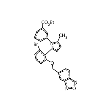 CCOC(=O)c1cccc(-n2c(C)ccc2-c2c(Br)cccc2OCc2ccc3nonc3c2)c1